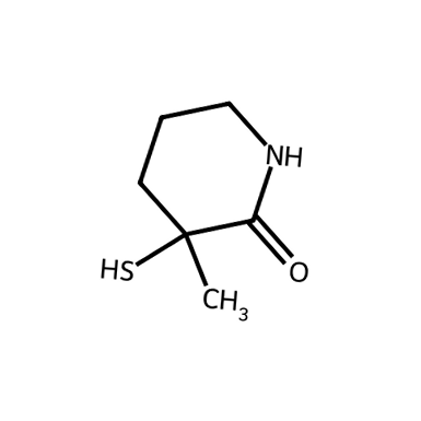 CC1(S)CCCNC1=O